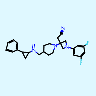 N#CCC1(N2CCC(CNC3CC3c3ccccc3)CC2)CN(c2cc(F)cc(F)c2)C1